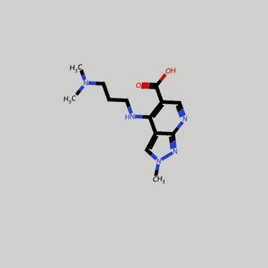 CN(C)CCCNc1c(C(=O)O)cnc2nn(C)cc12